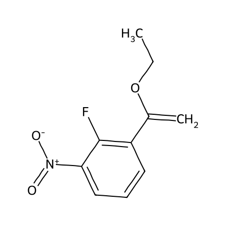 C=C(OCC)c1cccc([N+](=O)[O-])c1F